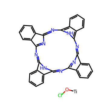 Cl[O][Ti].c1ccc2c(c1)-c1nc-2nc2[nH]c(nc3nc(nc4[nH]c(n1)c1ccccc41)-c1ccccc1-3)c1ccccc21